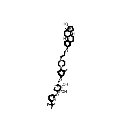 C[C@]12CC[C@@H]3c4ccc(OCCCN5CCN(c6ccc(OC[C@H]7OC[C@H](Oc8cccc(C(F)(F)F)n8)[C@@H](O)[C@H]7O)cc6F)CC5)cc4CC[C@H]3[C@@H]1CC[C@@H]2O